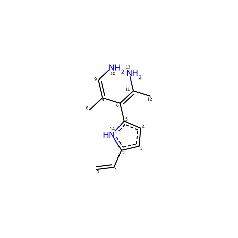 C=Cc1ccc(C(/C(C)=C\N)=C(\C)N)[nH]1